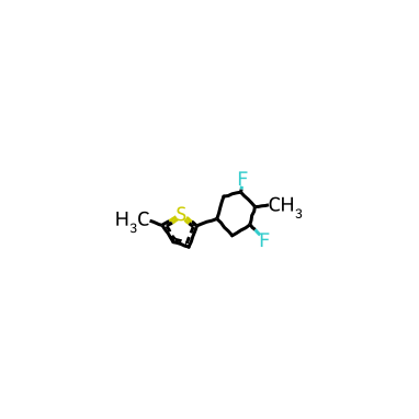 Cc1ccc(C2CC(F)C(C)C(F)C2)s1